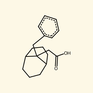 O=C(O)CC1(Cc2ccccc2)C2CCCC1CCC2